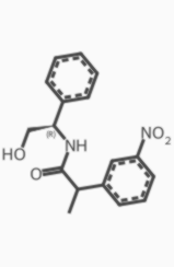 CC(C(=O)N[C@@H](CO)c1ccccc1)c1cccc([N+](=O)[O-])c1